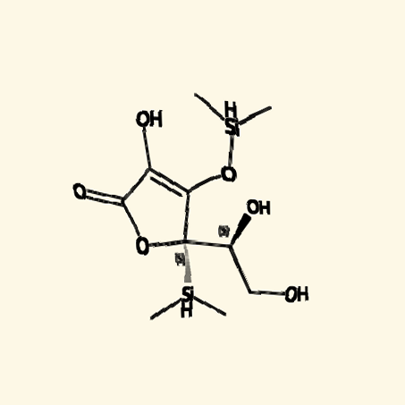 C[SiH](C)OC1=C(O)C(=O)O[C@@]1([C@@H](O)CO)[SiH](C)C